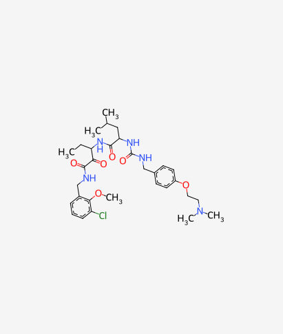 CCC(NC(=O)C(CC(C)C)NC(=O)NCc1ccc(OCCN(C)C)cc1)C(=O)C(=O)NCc1cccc(Cl)c1OC